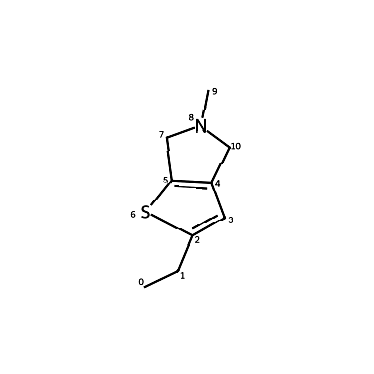 CCc1cc2c(s1)CN(C)C2